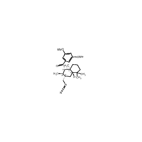 COc1cc(OC)cc(C(=O)[C@H]2[C@H](C)[C@@H](CN=[N+]=[N-])C[C@H]3C(C)(C)CCC[C@]23C)c1